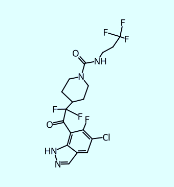 O=C(NCCC(F)(F)F)N1CCC(C(F)(F)C(=O)c2c(F)c(Cl)cc3cn[nH]c23)CC1